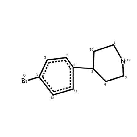 Brc1ccc(C2CC[N]CC2)cc1